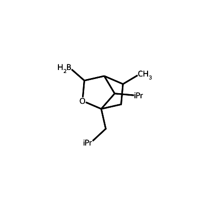 BC1OC2(CC(C)C)CC(C)C1C2C(C)C